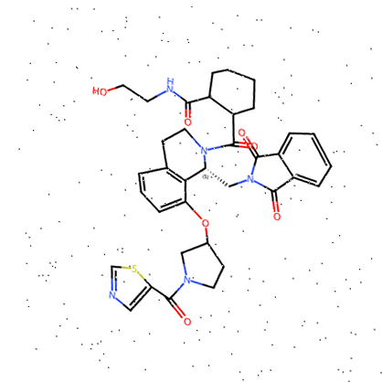 O=C(NCCO)C1CCCCC1C(=O)N1CCc2cccc(OC3CCN(C(=O)c4cncs4)C3)c2[C@H]1CN1C(=O)c2ccccc2C1=O